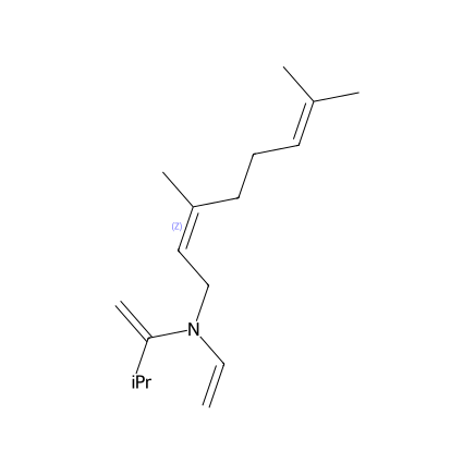 C=CN(C/C=C(/C)CCC=C(C)C)C(=C)C(C)C